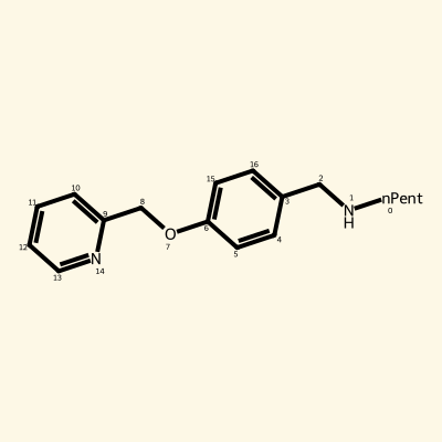 CCCCCNCc1ccc(OCc2ccccn2)cc1